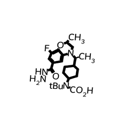 CC1CN([C@@H](C)C2CCC(N(C(=O)O)C(C)(C)C)CC2)c2cc(C(=O)NN)cc(F)c2O1